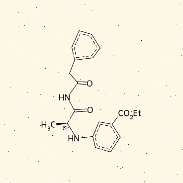 CCOC(=O)c1cccc(N[C@@H](C)C(=O)NC(=O)Cc2ccccc2)c1